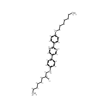 CCCCCCCOc1ccc(-c2ncc(-c3ccc(OCC(F)CCCCCC)cc3)cn2)cc1